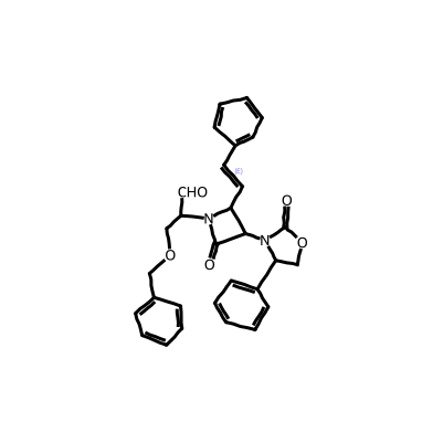 O=CC(COCc1ccccc1)N1C(=O)C(N2C(=O)OCC2c2ccccc2)C1/C=C/c1ccccc1